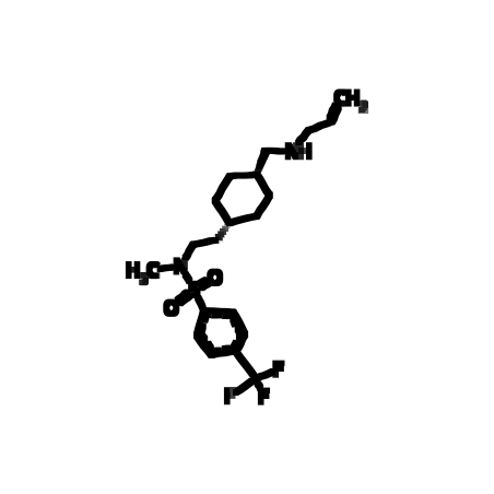 C=CCNC[C@H]1CC[C@H](CCN(C)S(=O)(=O)c2ccc(C(F)(F)F)cc2)CC1